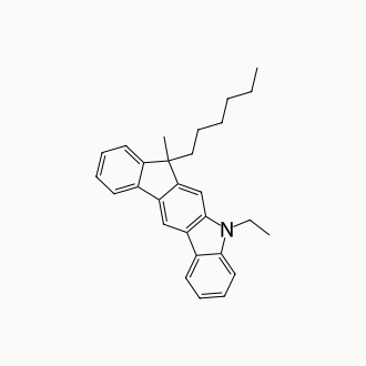 CCCCCCC1(C)c2ccccc2-c2cc3c4ccccc4n(CC)c3cc21